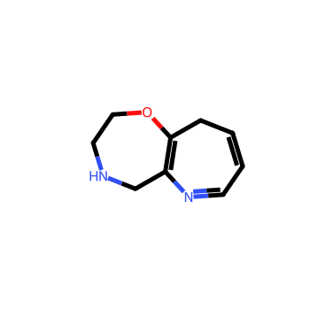 C1=CCC2=C(CNCCO2)N=C1